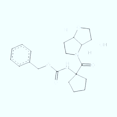 O=C(NC1(C(=O)N2CC[C@H]3OC[C@H](O)[C@H]32)CCCC1)OCc1ccccc1